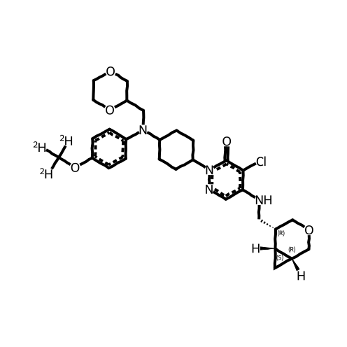 [2H]C([2H])([2H])Oc1ccc(N(CC2COCCO2)C2CCC(n3ncc(NC[C@@H]4COC[C@@H]5C[C@H]45)c(Cl)c3=O)CC2)cc1